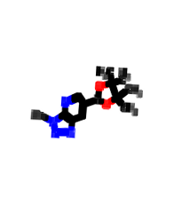 CC(C)n1nnc2cc(B3OC(C)(C)C(C)(C)O3)cnc21